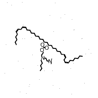 CCCCC/C=C\C/C=C\CCCCCCCCC(CCCCCCCC/C=C\C/C=C\CCCCCC)OC(=O)OCCN(CCCCC)CCN(C)C